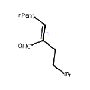 CCCCC/C=C(\C=O)CCC(C)C